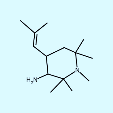 CC(C)=CC1CC(C)(C)N(C)C(C)(C)C1N